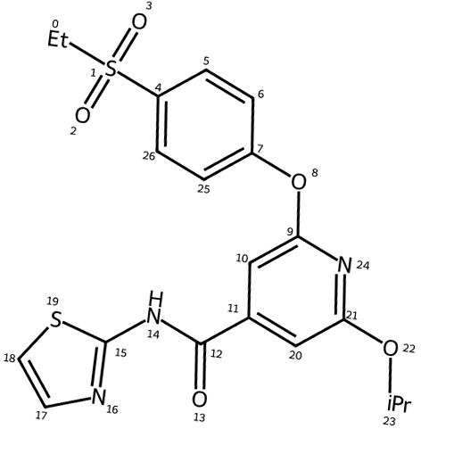 CCS(=O)(=O)c1ccc(Oc2cc(C(=O)Nc3nccs3)cc(OC(C)C)n2)cc1